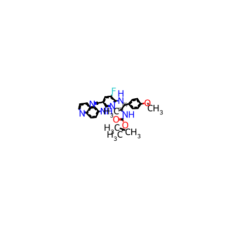 COc1ccc([C@@H](Nc2nc(Nc3ccc4ncccc4c3)c(C#N)cc2F)[C@H](C)NC(=O)OC(C)(C)C)cc1